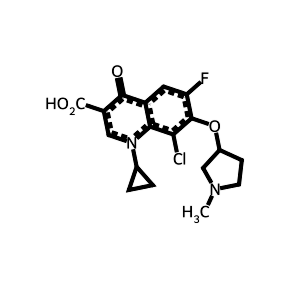 CN1CCC(Oc2c(F)cc3c(=O)c(C(=O)O)cn(C4CC4)c3c2Cl)C1